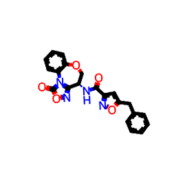 O=C(N[C@H]1COc2ccccc2-n2c1noc2=O)c1cc(Cc2ccccc2)on1